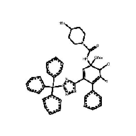 COC1(NC(=O)N2CCC(C(C)(C)C)CC2)C=C(c2nnn(C(c3ccccc3)(c3ccccc3)c3ccccc3)n2)C(c2ccccc2)=C(F)C1Cl